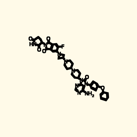 Nc1ncnc2c1n(-c1ccc(Oc3ccccc3)cc1)c(=O)n2C1CCN(C2CCN(C3CN(c4cc5c(cc4F)C(=O)N(C4CCC(=O)NC4=O)C5=O)C3)CC2)CC1